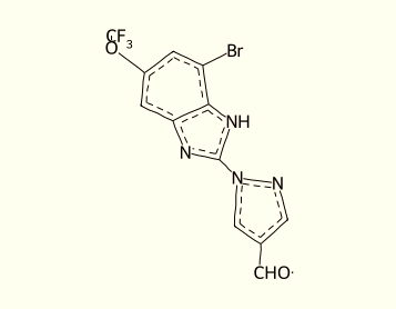 O=[C]c1cnn(-c2nc3cc(OC(F)(F)F)cc(Br)c3[nH]2)c1